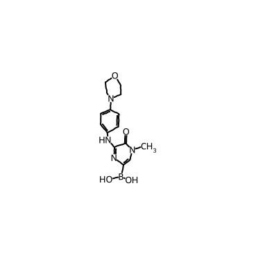 Cn1cc(B(O)O)nc(Nc2ccc(N3CCOCC3)cc2)c1=O